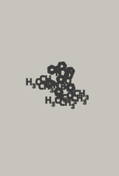 CC(C)(C)c1ccc(N2c3ccc(C(C)(C)C)cc3B3c4cc(C(C)(C)C)ccc4Oc4cc(-n5c6ccccc6c6cccc(C78CC9CC(CC(C9)C7)C8)c65)cc2c43)cc1